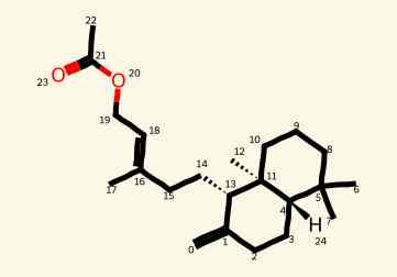 C=C1CC[C@H]2C(C)(C)CCC[C@]2(C)[C@H]1CCC(C)=CCOC(C)=O